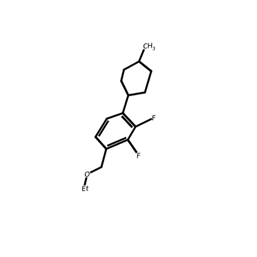 CCOCc1ccc(C2CCC(C)CC2)c(F)c1F